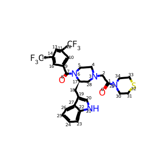 O=C(CN1CCN(C(=O)c2cc(C(F)(F)F)cc(C(F)(F)F)c2)[C@H](Cc2c[nH]c3ccccc23)C1)N1CCSCC1